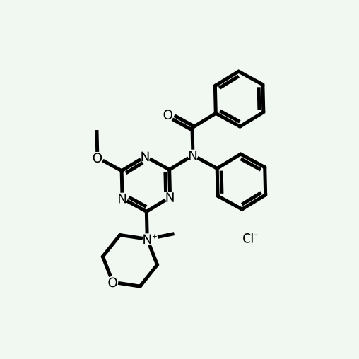 COc1nc(N(C(=O)c2ccccc2)c2ccccc2)nc([N+]2(C)CCOCC2)n1.[Cl-]